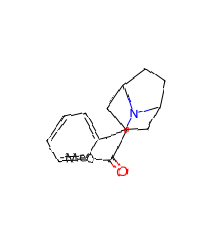 COC(=O)C1CC2CCC(C1)N2Cc1ccccc1